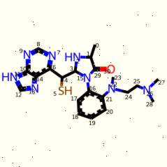 CC1NC(C(S)c2ncnc3[nH]cnc23)N(c2ccccc2N(C)CCN(C)C)C1=O